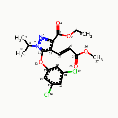 CCOC(=O)c1nn(C(C)C)c(Oc2cc(Cl)cc(Cl)c2)c1C=CC(=O)OC